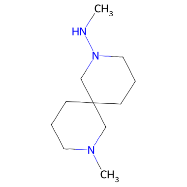 CNN1CCCC2(CCCN(C)C2)C1